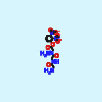 NCC(=O)NCC(=O)N(N)CC(=O)Oc1cccc([N+](=O)[O-])c1[N+](=O)[O-]